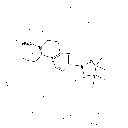 CC(C)CC1c2ccc(B3OC(C)(C)C(C)(C)O3)cc2CCN1C(=O)O